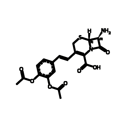 CC(=O)Oc1ccc(C=CC2=C(C(=O)O)N3C(=O)[C@@H](N)[C@H]3SC2)cc1OC(C)=O